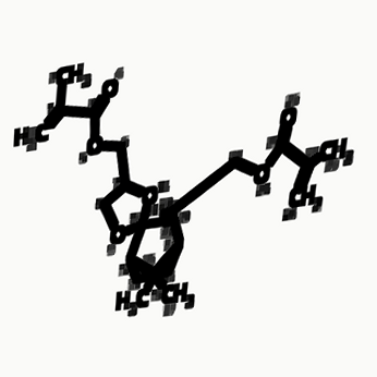 C=C(C)C(=O)OCC1COC2(O1)C1CCC(C1(C)C)C21OCC(COC(=O)C(=C)C)O1